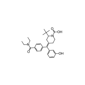 CCN(CC)C(=O)c1ccc(C(=C2CCN(C(=O)O)C(C(C)(C)C)C2)c2cccc(O)c2)cc1